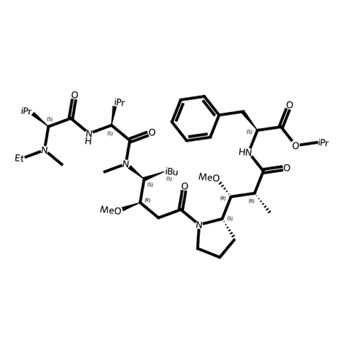 CC[C@H](C)[C@@H]([C@@H](CC(=O)N1CCC[C@H]1[C@H](OC)[C@@H](C)C(=O)N[C@@H](Cc1ccccc1)C(=O)OC(C)C)OC)N(C)C(=O)[C@@H](NC(=O)[C@H](C(C)C)N(C)CC)C(C)C